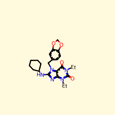 CCn1c(=O)c2c(nc(NC3CCCCC3)n2Cc2ccc3c(c2)OCO3)n(CC)c1=O